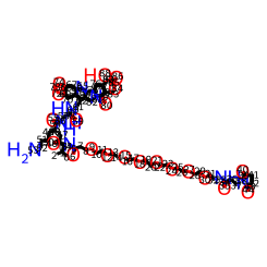 CC(C)[C@H](NC(=O)CCOCCOCCOCCOCCOCCOCCOCCOCCNC(=O)CCN1C(=O)C=CC1=O)C(=O)C[C@@H](CCCCN)C(=O)NCC(=O)NCc1c2c(nc3cc4c(cc13)OCO4)-c1cc3c(c(=O)n1C2)COC(=O)[C@H]3O